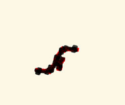 C=CC(=O)OCCCCCCOc1ccc(OOCCCCCC(=O)Oc2ccc(OOCCCCCC(=O)Oc3ccc(OCCCCCCOC(=O)C=C)cc3)c(/C=N/N(CCCCCC)c3nc4ccccc4s3)c2)cc1